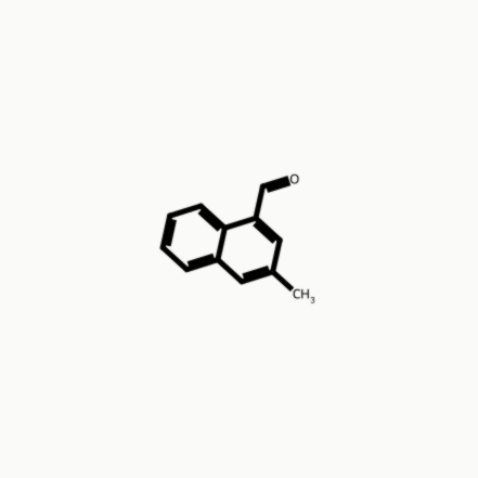 Cc1cc(C=O)c2ccccc2c1